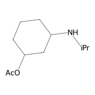 CC(=O)OC1CCCC(NC(C)C)C1